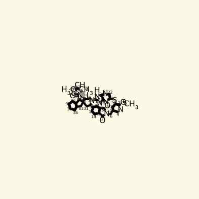 COc1ncc(CN2C(=O)c3ccccc3C2=O)cc1Sc1cnc2[nH]c(N3CCC4(CC3)Cc3ccccc3[C@H]4N[S@@+]([O-])C(C)(C)C)nc2n1